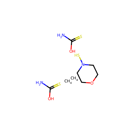 C.C.NC(O)=S.NC(O)=S.SN1CCOCC1